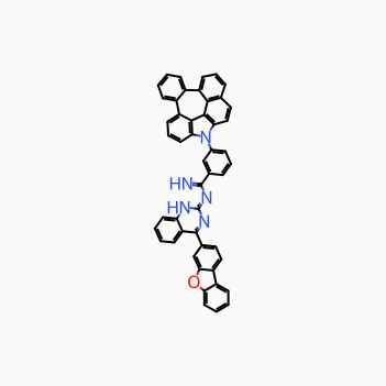 N=C(/N=c1/nc(-c2ccc3c(c2)oc2ccccc23)c2ccccc2[nH]1)c1cccc(-n2c3cccc4c3c3c5c(cccc5ccc32)-c2ccccc2-4)c1